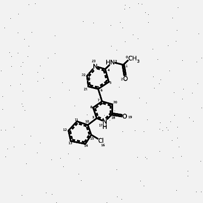 CC(=O)Nc1cc(-c2cc(-c3ccccc3Cl)[nH]c(=O)c2)ccn1